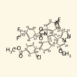 COC(=O)c1ccc(-c2cccc(-c3c(-c4cc(OC)cn5ncc(C#N)c45)c4cc(F)ccc4n3S(=O)(=O)c3ccc(C(F)F)cc3)c2)c(Cl)c1